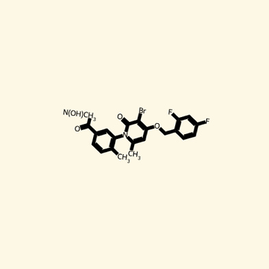 Cc1ccc(C(=O)N(C)O)cc1-n1c(C)cc(OCc2ccc(F)cc2F)c(Br)c1=O